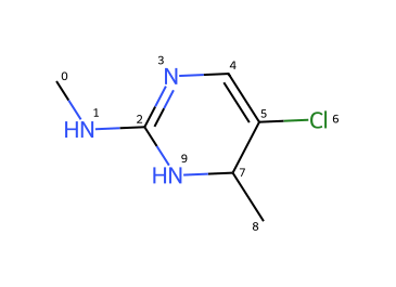 CNC1=NC=C(Cl)C(C)N1